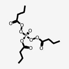 CCCC(=O)OOP(=O)(OOC(=O)CCC)OC(=O)CCC